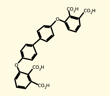 O=C(O)c1cccc(Oc2ccc(-c3ccc(Oc4cccc(C(=O)O)c4C(=O)O)cc3)cc2)c1C(=O)O